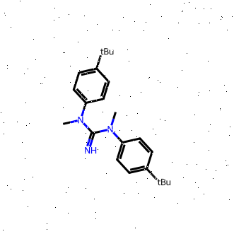 CN(C(=N)N(C)c1ccc(C(C)(C)C)cc1)c1ccc(C(C)(C)C)cc1